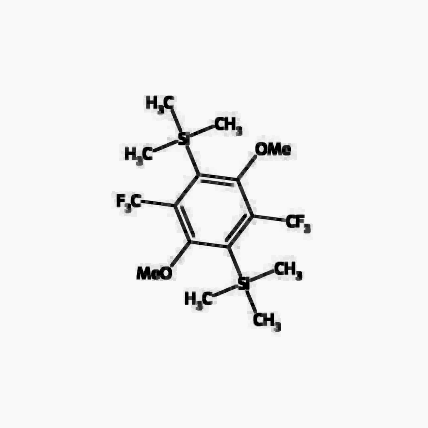 COc1c(C(F)(F)F)c([Si](C)(C)C)c(OC)c(C(F)(F)F)c1[Si](C)(C)C